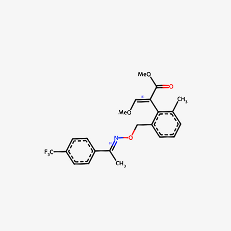 CO/C=C(/C(=O)OC)c1c(C)cccc1CO/N=C(\C)c1ccc(C(F)(F)F)cc1